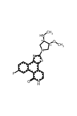 CN[C@@H]1CN(c2nc3c4ccc(F)cc4c4c(=O)[nH]ccc4c3s2)C[C@@H]1OC